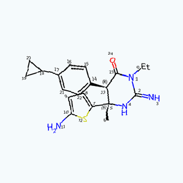 CCN1C(=N)N[C@](C)(c2ccc(N)s2)[C@@H](c2ccc(C3CC3)cc2)C1=O